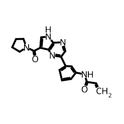 C=CC(=O)Nc1cccc(-c2cnc3[nH]cc(C(=O)N4CCCC4)c3n2)c1